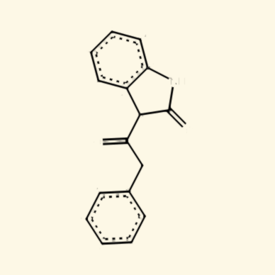 O=C(Cc1ccccc1)C1C(=O)Nc2ccccc21